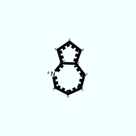 c1ccc2cccc-2nc1